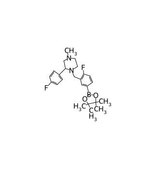 CN1CCN(Cc2cc(B3OC(C)(C)C(C)(C)O3)ccc2F)C(c2ccc(F)cc2)C1